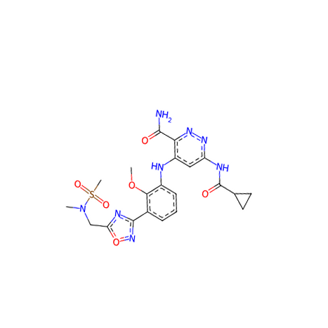 COc1c(Nc2cc(NC(=O)C3CC3)nnc2C(N)=O)cccc1-c1noc(CN(C)S(C)(=O)=O)n1